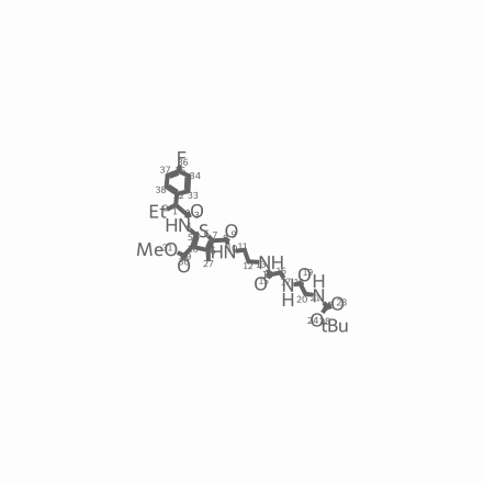 CCC(C(=O)Nc1sc(C(=O)NCCNC(=O)CNC(=O)CNC(=O)OC(C)(C)C)c(C)c1C(=O)OC)c1ccc(F)cc1